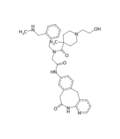 CNCc1ccccc1CN(CC(=O)Nc1ccc2c(c1)CC(=O)Nc1ncccc1C2)C(=O)C1(C)CCN(CCO)CC1